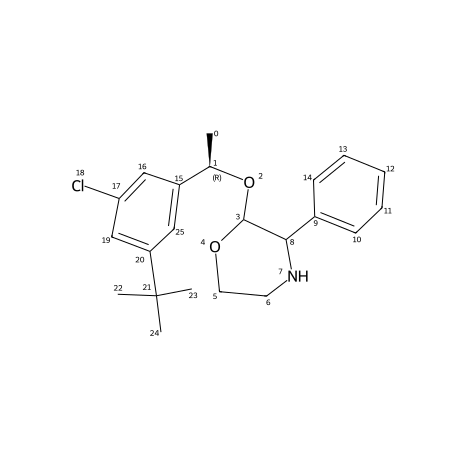 C[C@@H](OC1OCCNC1c1ccccc1)c1cc(Cl)cc(C(C)(C)C)c1